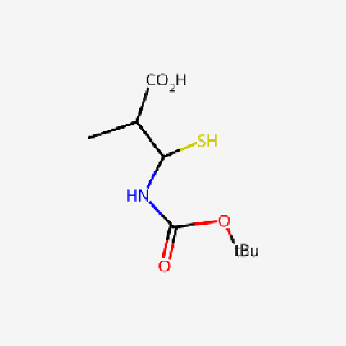 CC(C(=O)O)C(S)NC(=O)OC(C)(C)C